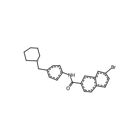 O=C(Nc1ccc(C[C]2CCCCC2)cc1)c1ccc2ccc(Br)cc2c1